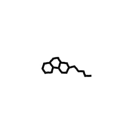 CCCCCC1CCC2C(CCC3CCCCC32)C1